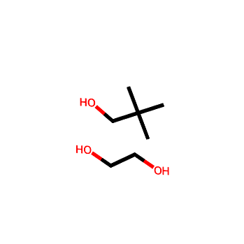 CC(C)(C)CO.OCCO